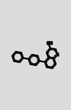 Oc1cnc2cccc(-c3ccc(-c4ccccc4)cc3)c2c1